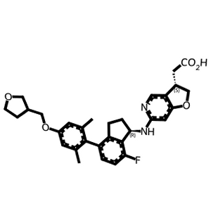 Cc1cc(OCC2CCOC2)cc(C)c1-c1ccc(F)c2c1CC[C@H]2Nc1cc2c(cn1)[C@H](CC(=O)O)CO2